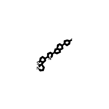 Ic1ccc(-c2ccc3cc(-c4ccc(-c5ccc6sc7ncccc7c6c5)nc4)ccc3c2)cc1